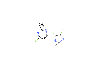 Cc1nccc(F)n1.FC1NC2CN2C1F